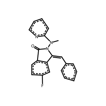 CN(c1ccccn1)N1C(=O)c2ccc(F)cc2C1=Cc1ccccc1